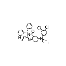 Cc1nc2ccc(N(C)c3ccc(Cl)c(Cl)c3)cc2c(=O)n1C(c1ccccc1)c1ccccc1